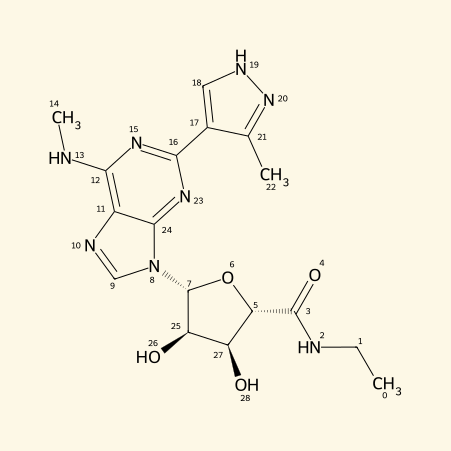 CCNC(=O)[C@H]1O[C@@H](n2cnc3c(NC)nc(-c4c[nH]nc4C)nc32)[C@H](O)[C@@H]1O